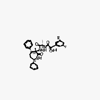 C[C@H](NC(=O)[C@@H](O)c1cc(F)cc(F)c1)C(=O)N[C@]1(C)C(=O)N[C@H](c2ccccc2)CC[C@@H]1c1ccccc1